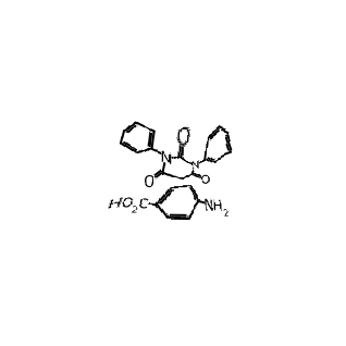 Nc1ccc(C(=O)O)cc1.O=C1CC(=O)N(c2ccccc2)C(=O)N1c1ccccc1